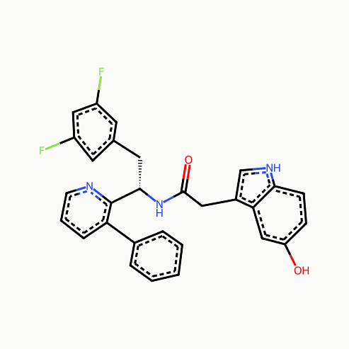 O=C(Cc1c[nH]c2ccc(O)cc12)N[C@@H](Cc1cc(F)cc(F)c1)c1ncccc1-c1ccccc1